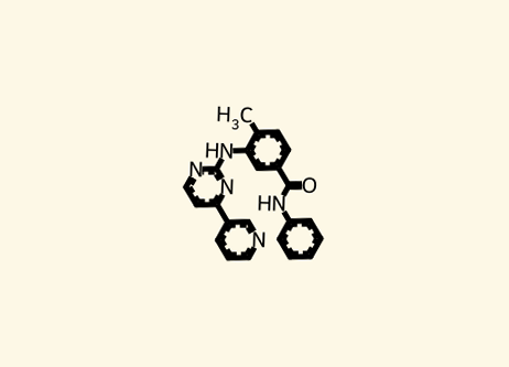 Cc1ccc(C(=O)Nc2ccccc2)cc1Nc1nccc(-c2cccnc2)n1